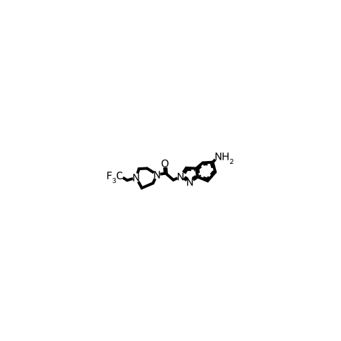 Nc1ccc2nn(CC(=O)N3CCN(CC(F)(F)F)CC3)cc2c1